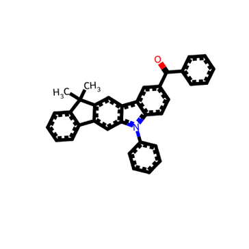 CC1(C)c2ccccc2-c2cc3c(cc21)c1cc(C(=O)c2ccccc2)ccc1n3-c1ccccc1